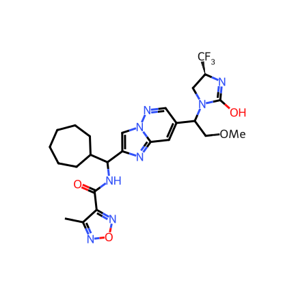 COCC(c1cnn2cc(C(NC(=O)c3nonc3C)C3CCCCCC3)nc2c1)N1C[C@@H](C(F)(F)F)N=C1O